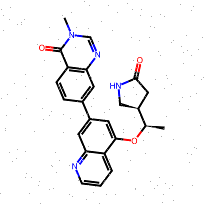 C[C@@H](Oc1cc(-c2ccc3c(=O)n(C)cnc3c2)cc2ncccc12)[C@H]1CNC(=O)C1